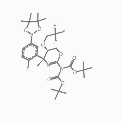 CC(C)(C)OC(=O)N(C(=O)OC(C)(C)C)C1=N[C@](C)(c2cc(B3OC(C)(C)C(C)(C)O3)ccc2F)[C@@H](OCC(F)(F)F)CO1